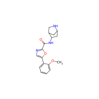 COc1ccccc1-c1cnc(C(=O)NC2CC3CC2CN3)o1